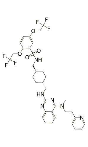 CN(CCc1ccccn1)c1nc(NC[C@H]2CC[C@H](CNS(=O)(=O)c3cc(OCC(F)(F)F)ccc3OCC(F)(F)F)CC2)nc2ccccc12